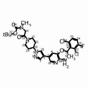 CC(Oc1cc(-c2cnn(C3CCN(C(=O)CN(C)C(=O)OC(C)(C)C)CC3)c2)cnc1N)c1c(Cl)ccc(F)c1Cl